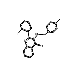 Cc1ccc(CNn2c(-c3ccccc3F)nc3ccccc3c2=O)cc1